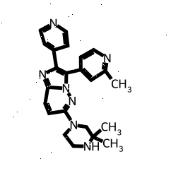 Cc1cc(-c2c(-c3ccncc3)nc3ccc(N4CCNC(C)(C)C4)nn23)ccn1